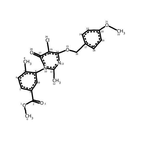 COC(=O)c1ccc(C)c(-n2c(C)nc(OCc3ccc(OC)cc3)c(Cl)c2=O)c1